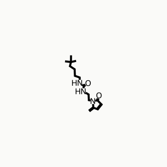 C=C1C=CC(=O)N1CCNC(=O)NCCCCC(C)(C)C